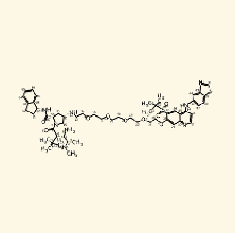 CN[C@@H](C)C(N)[C@@H](C(=O)N1C[C@@H](NCCOCCOCCOCCOCCOc2cc3nccc(Nc4ccc5scnc5c4)c3cc2S(=O)(=O)C(C)(C)C)C[C@H]1C(=O)N[C@@H]1CCc2ccccc21)C(C)(C)C